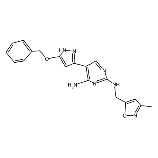 Cc1cc(CNc2ncc(-c3cc(OCc4ccccc4)[nH]n3)c(N)n2)on1